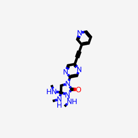 CNN1C(=O)N(c2cnc(C#Cc3cccnc3)cn2)CC1(NC)NC